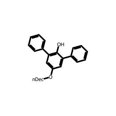 CCCCCCCCCCOc1cc(-c2ccccc2)c(O)c(-c2ccccc2)c1